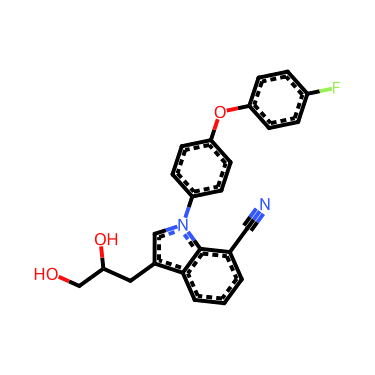 N#Cc1cccc2c(CC(O)CO)cn(-c3ccc(Oc4ccc(F)cc4)cc3)c12